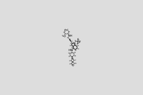 CO[C@@H]1COCC[C@H]1NCC#Cc1cc2c(N[C@H]3CC[C@H](N4CC5(COC5)C4)CC3)cccc2n1CC(F)(F)F